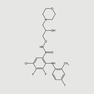 Cc1cc(I)ccc1Nc1c(C(=O)NOCC(O)CN2CCOCC2)cc(Cl)c(F)c1F